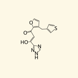 O=C(C=C(O)c1nc[nH]n1)c1occc1Cc1ccsc1